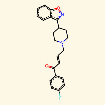 O=C(C=CCN1CCC(c2noc3ccccc23)CC1)c1ccc(F)cc1